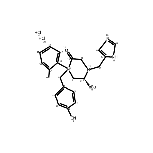 CCCC[C@H]1C[N+](Cc2ccc(C#N)cc2)(c2ccccc2C)C(=O)CN1Cc1cnc[nH]1.Cl.Cl